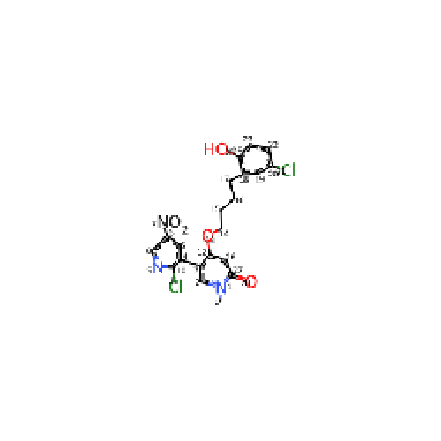 Cn1cc(-c2cc([N+](=O)[O-])cnc2Cl)c(OCCCCc2cc(Cl)ccc2O)cc1=O